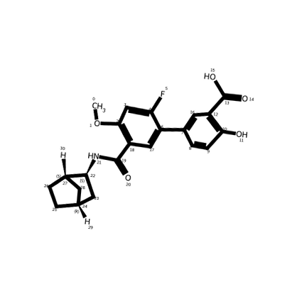 COc1cc(F)c(-c2ccc(O)c(C(=O)O)c2)cc1C(=O)N[C@H]1C[C@@H]2CC[C@H]1C2